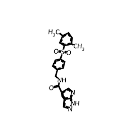 Cc1ccc(C)c(S(=O)(=O)c2ccc(CNC(=O)c3cnc4[nH]ncc4c3)cc2)c1